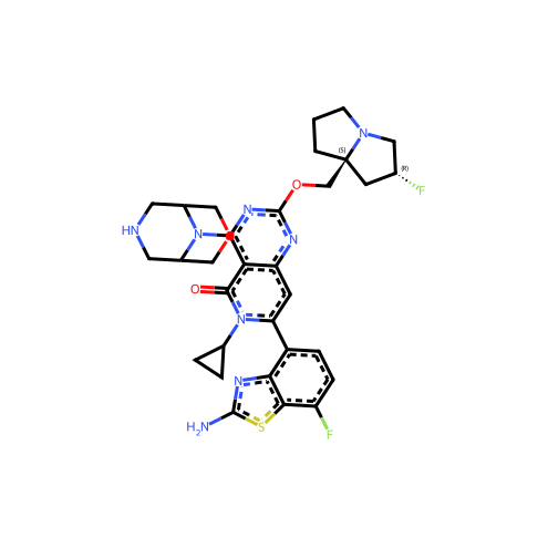 Nc1nc2c(-c3cc4nc(OC[C@@]56CCCN5C[C@H](F)C6)nc(N5C6CNCC5COC6)c4c(=O)n3C3CC3)ccc(F)c2s1